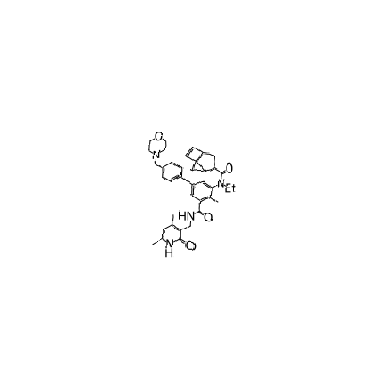 CCN(C(=O)C1CC2C=CC23CC13)c1cc(-c2ccc(CN3CCOCC3)cc2)cc(C(=O)NCc2c(C)cc(C)[nH]c2=O)c1C